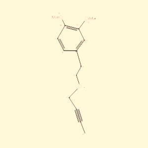 CC#CCOCCc1ccc(OC)c(OC)c1